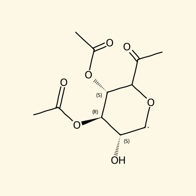 CC(=O)O[C@H]1[C@H](OC(C)=O)C(C(C)=O)O[CH][C@@H]1O